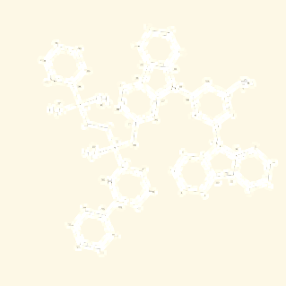 CC(C)(C)c1cc(-n2c3ccccc3c3ccccc32)cc(-n2c3ccccc3c3ccc(CC(C)(CCC(C)(C)c4ccccn4)c4cccc(-c5ccccc5)n4)cc32)c1